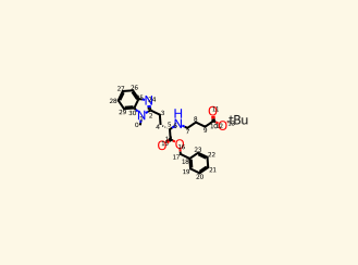 Cn1c(CC[C@H](NCCCC(=O)OC(C)(C)C)C(=O)OCc2ccccc2)nc2ccccc21